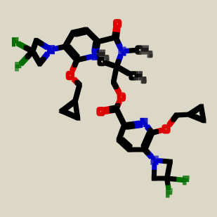 CN(C(=O)c1ccc(N2CC(F)(F)C2)c(OCC2CC2)n1)C(C)(C)COC(=O)c1ccc(N2CC(F)(F)C2)c(OCC2CC2)n1